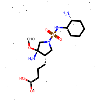 N[C@@H]1CCCCC1NS(=O)(=O)N1C[C@H](CCCB(O)O)[C@](N)(OC=O)C1